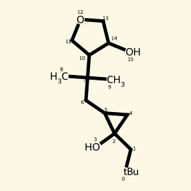 CC(C)(C)CC1(O)CC1CC(C)(C)C1COCC1O